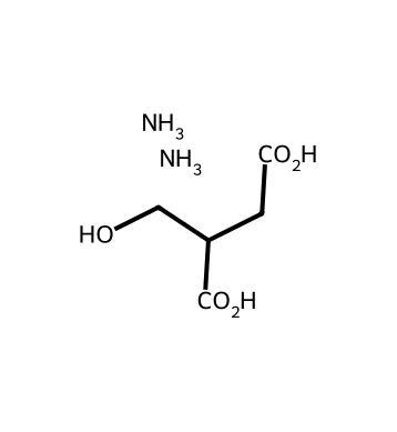 N.N.O=C(O)CC(CO)C(=O)O